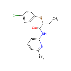 C/C=C(\Sc1ccc(Cl)cc1)C(=O)Nc1cccc(C(F)(F)F)n1